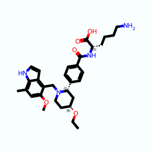 CCO[C@@H]1CCN(Cc2c(OC)cc(C)c3[nH]ccc23)[C@H](c2ccc(C(=O)N[C@@H](CCCCN)C(=O)O)cc2)C1